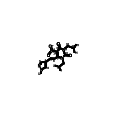 CC(C)Cn1c(C=Cc2cnn(C)c2)c([N+](=O)[O-])c(=O)n(CC(C)C)c1=O